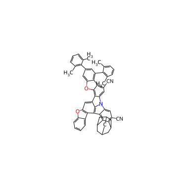 Cc1cccc(C)c1-c1cc(-c2c(C)cccc2C)c2c(c1)oc1c2c(C#N)cc2c1c1cc3oc4ccccc4c3c3c4c5c(c(C#N)cc4n2c13)C1CC2CC(C1)CC5C2